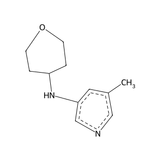 Cc1cncc(NC2CCOCC2)c1